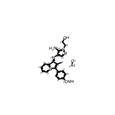 CC(=O)[O-].COc1ccc(C2=C(C)/C(=N\c3cnn(CCO)c3N)c3cccc[n+]32)cc1